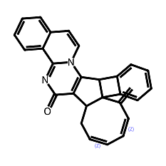 C=C1/C=C\C=C/CC2c3c(n4ccc5ccccc5c4nc3=O)C3c4ccccc4C123